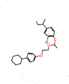 CCC(C)c1ccc(OC(C)OCCOc2ccc(C3CCCCC3)cc2)c(Br)c1